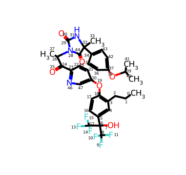 CCCc1cc(C(O)(C(F)(F)F)C(F)(F)F)ccc1Oc1ccc(C(=O)C(C)N2C(=O)NC(C)(c3ccc(OC(C)C)cc3)C2=O)nc1